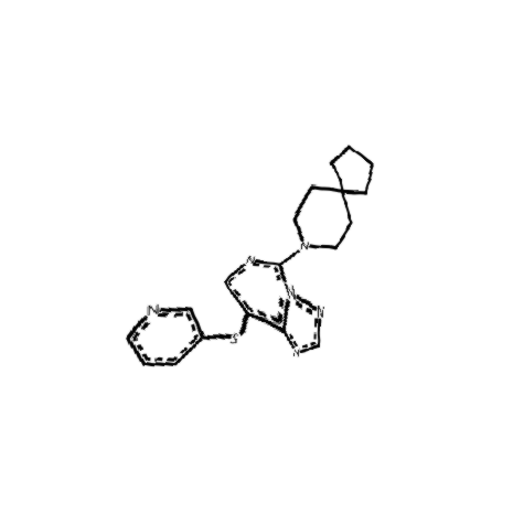 c1cncc(Sc2cnc(N3CCC4(CCCC4)CC3)n3ncnc23)c1